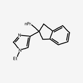 CCCC1(c2cn(CC)cn2)Cc2ccccc2C1